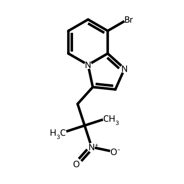 CC(C)(Cc1cnc2c(Br)cccn12)[N+](=O)[O-]